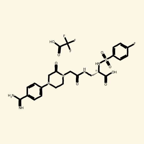 N=C(N)c1ccc(N2CCN(CC(=O)NC[C@H](NS(=O)(=O)c3ccc(F)cc3)C(=O)O)C(=O)C2)cc1.O=C(O)C(F)(F)F